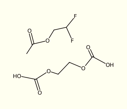 CC(=O)OCC(F)F.O=C(O)OCCOC(=O)O